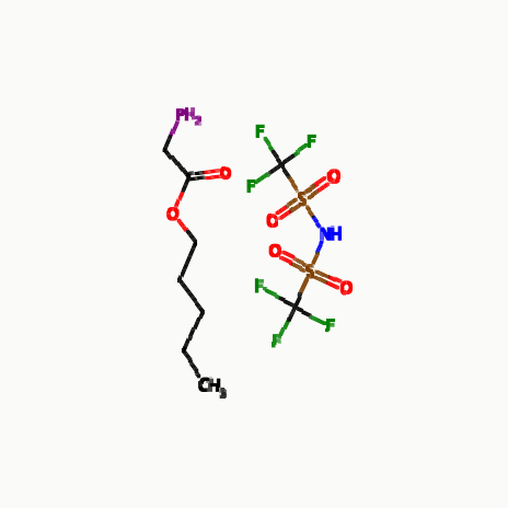 CCCCCOC(=O)CP.O=S(=O)(NS(=O)(=O)C(F)(F)F)C(F)(F)F